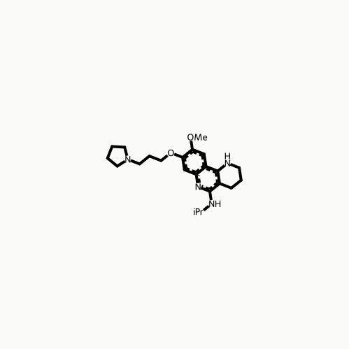 COc1cc2c3c(c(NC(C)C)nc2cc1OCCCN1CCCC1)CCCN3